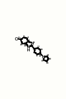 Clc1ccc2nc(-c3ccc(-n4cccc4)cc3)[nH]c2c1